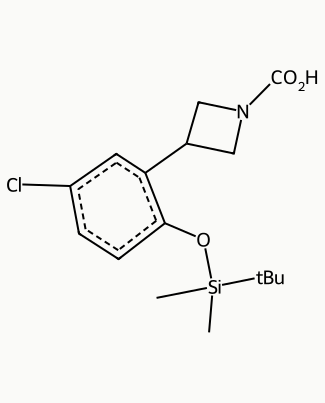 CC(C)(C)[Si](C)(C)Oc1ccc(Cl)cc1C1CN(C(=O)O)C1